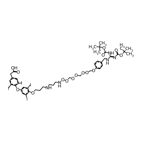 CC(C)(C)OC(=O)/N=C(/NCc1ccc(OCOOCOOCOONCCCNCCCOc2c(I)cc(Oc3c(I)cc(CC(=O)O)cc3I)cc2I)cc1)NC(=O)OC(C)(C)C